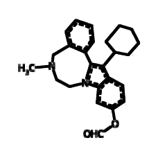 CN1CCn2c(c(C3CCCCC3)c3ccc(OC=O)cc32)-c2ccccc2C1